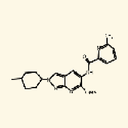 COc1nc2nn(C3CCC(C)CC3)cc2cc1NC(=O)c1cccc(C(F)(F)F)n1